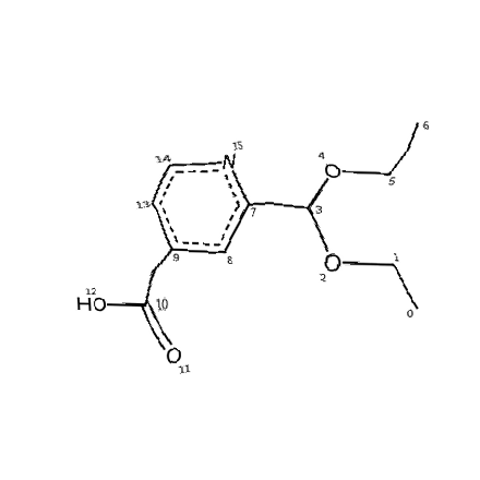 CCOC(OCC)c1cc(C(=O)O)ccn1